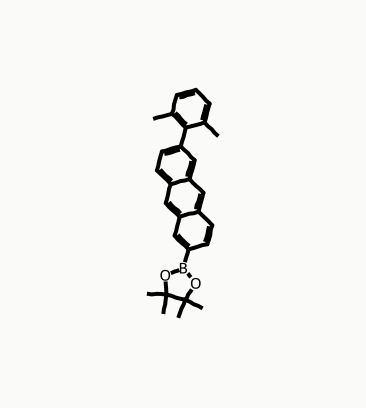 Cc1cccc(C)c1-c1ccc2cc3cc(B4OC(C)(C)C(C)(C)O4)ccc3cc2c1